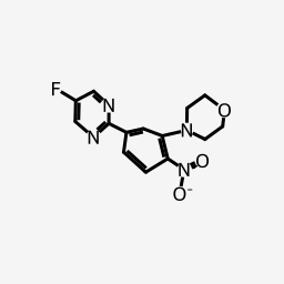 O=[N+]([O-])c1ccc(-c2ncc(F)cn2)cc1N1CCOCC1